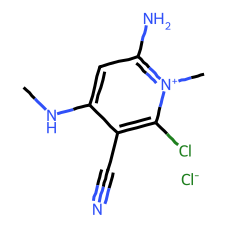 CNc1cc(N)[n+](C)c(Cl)c1C#N.[Cl-]